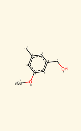 [CH2]c1cc(CO)cc(OCCCC)c1